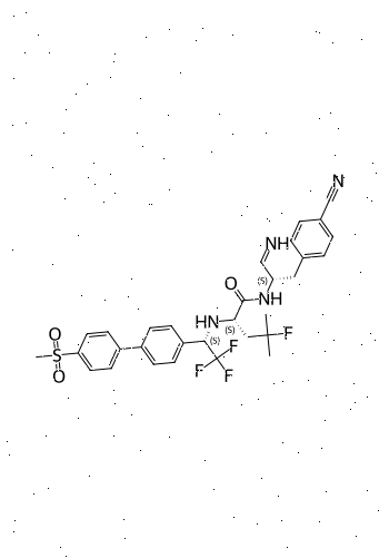 CC(C)(F)C[C@H](N[C@@H](c1ccc(-c2ccc(S(C)(=O)=O)cc2)cc1)C(F)(F)F)C(=O)N[C@H](C=N)Cc1ccc(C#N)cc1